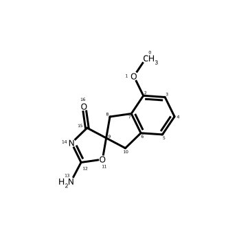 COc1cccc2c1CC1(C2)OC(N)=NC1=O